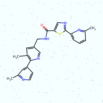 Cc1cc(-c2ncc(CNC(=O)c3cnc(-c4cccc(C)n4)s3)cc2C)ccn1